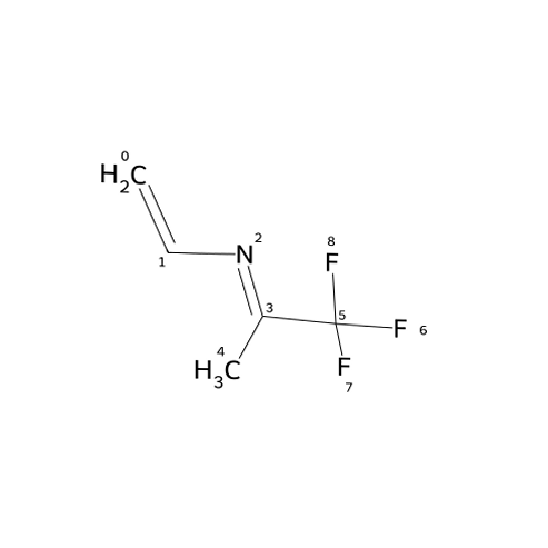 C=C/N=C(\C)C(F)(F)F